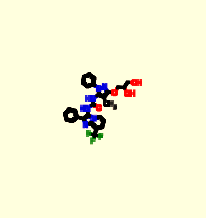 Cc1c(OC[C@H](O)CO)nn(-c2ccccc2)c1NC(=O)Nc1c(-c2ccccc2)nc2c(C(F)(F)F)cccn12